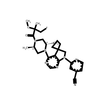 COC(C)(CF)C(=O)N1C[C@H](C)N(c2ncnc3c2C2(CCC2)CN3c2cc(C#N)ccn2)C[C@H]1C